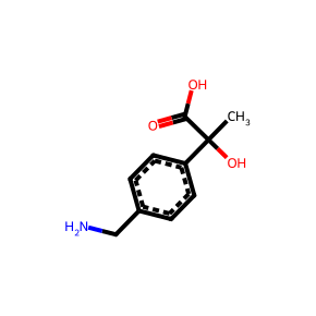 CC(O)(C(=O)O)c1ccc(CN)cc1